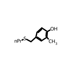 CCCSCc1ccc(O)c(C)c1